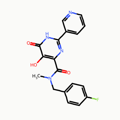 CN(Cc1ccc(F)cc1)C(=O)c1nc(-c2cccnc2)[nH]c(=O)c1O